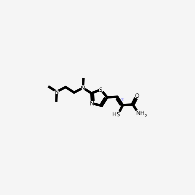 CN(C)CCN(C)c1ncc(/C=C(\S)C(N)=O)s1